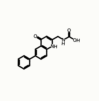 O=C(O)NCc1cc(=O)c2cc(-c3ccccc3)ccc2[nH]1